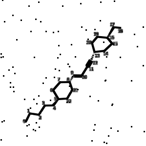 CCCCC[C@H]1CC[C@H](/C=C/C#C[C@H]2CC[C@H](CC)CC2)CC1